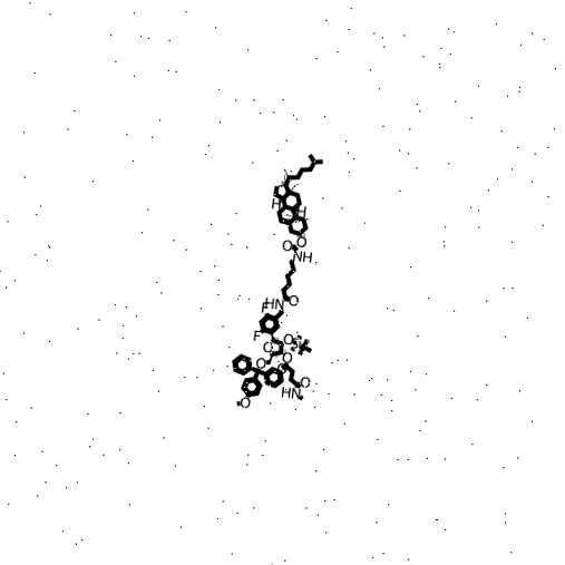 CNC(=O)CCC(=O)O[C@@H]1C(O[Si](C)(C)C(C)(C)C)[C@H](c2cc(CNC(=O)CCCCCNC(=O)O[C@H]3CC[C@@]4(C)C(=CCC5[C@@H]6CC[C@H]([C@H](C)CCCC(C)C)[C@@]6(C)CC[C@@H]54)C3)c(F)cc2F)O[C@@H]1COC(c1ccccc1)(c1ccccc1)c1ccc(OC)cc1